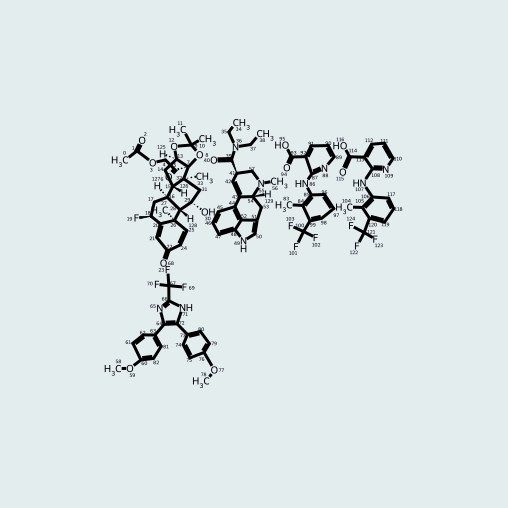 CC(=O)OCC(=O)[C@@]12OC(C)(C)O[C@@H]1C[C@H]1[C@@H]3C[C@H](F)C4=CC(=O)C=C[C@]4(C)[C@H]3[C@@H](O)C[C@@]12C.CCN(CC)C(=O)[C@@H]1C=C2c3cccc4[nH]cc(c34)C[C@H]2N(C)C1.COc1ccc(-c2nc(C(F)(F)F)[nH]c2-c2ccc(OC)cc2)cc1.Cc1c(Nc2ncccc2C(=O)O)cccc1C(F)(F)F.Cc1c(Nc2ncccc2C(=O)O)cccc1C(F)(F)F